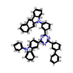 c1ccc(-c2cccc(-c3nc(-c4cccc(-n5c6ccccc6c6cc7ccccc7cc65)c4)nc(-c4ccc5c(c4)c4ccccc4n5-c4ccccc4)n3)c2)cc1